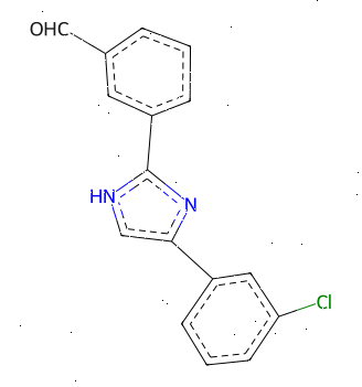 O=Cc1cccc(-c2nc(-c3cccc(Cl)c3)c[nH]2)c1